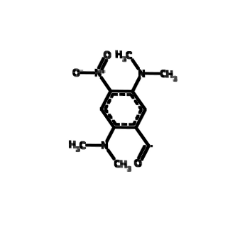 CN(C)c1cc([N+](=O)[O-])c(N(C)C)cc1[C]=O